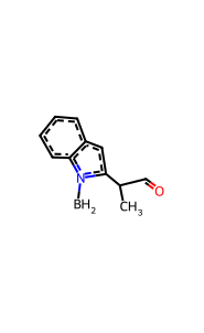 Bn1c(C(C)C=O)cc2ccccc21